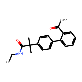 COC(=O)c1ccccc1-c1ccc(C(C)(C)C(=O)NCC(C)C)cc1